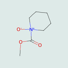 COC(=O)[N+]1([O-])CCCCC1